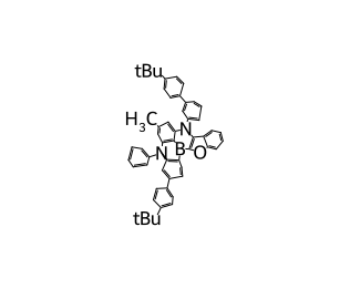 Cc1cc2c3c(c1)N(c1cccc(-c4ccc(C(C)(C)C)cc4)c1)c1c(oc4ccccc14)B3c1ccc(-c3ccc(C(C)(C)C)cc3)cc1N2c1ccccc1